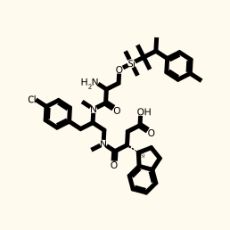 Cc1ccc(C(C)C(C)(C)[Si](C)(C)OCC(N)C(=O)N(C)C(Cc2ccc(Cl)cc2)CN(C)C(=O)C(CC(=O)O)[C@@H]2CCc3ccccc32)cc1